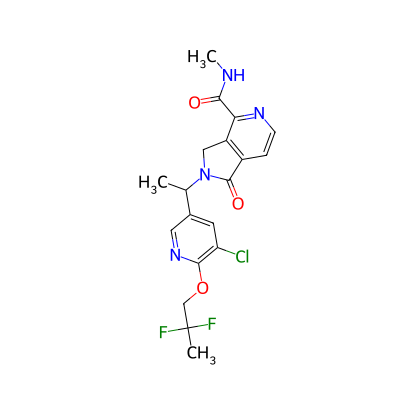 CNC(=O)c1nccc2c1CN(C(C)c1cnc(OCC(C)(F)F)c(Cl)c1)C2=O